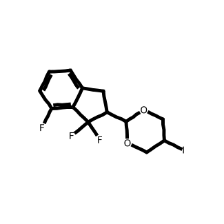 Fc1cccc2c1C(F)(F)C(C1OCC(I)CO1)C2